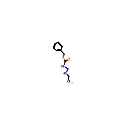 CCNCNC(=O)OCc1ccccc1